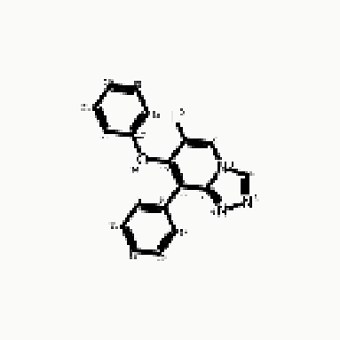 Fc1cn2cnnc2c(-c2ccccc2)c1Oc1ccccc1